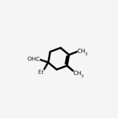 CCC1(C=O)CCC(C)=C(C)C1